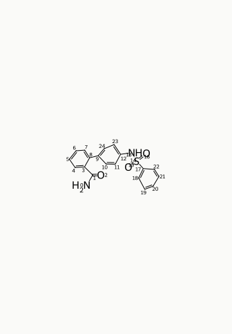 NC(=O)c1ccccc1-c1ccc(NS(=O)(=O)c2ccccc2)cc1